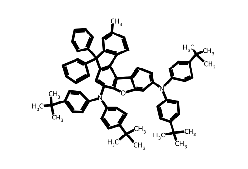 Cc1ccc2c(c1)C(c1ccccc1)(c1ccccc1)c1cc(N(c3ccc(C(C)(C)C)cc3)c3ccc(C(C)(C)C)cc3)c3oc4cc(N(c5ccc(C(C)(C)C)cc5)c5ccc(C(C)(C)C)cc5)ccc4c3c1-2